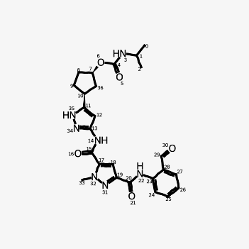 CC(C)NC(=O)O[C@@H]1CC[C@H](c2cc(NC(=O)c3cc(C(=O)Nc4ccccc4C=O)nn3C)n[nH]2)C1